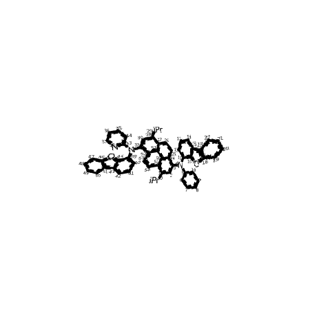 CC(C)c1cc(N(c2ccccc2)c2cccc3c2oc2ccccc23)c2ccc3c(C(C)C)cc(N(c4ccccn4)c4cccc5c4oc4ccccc45)c4ccc1c2c34